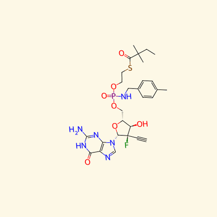 C#C[C@@]1(F)[C@H](O)[C@@H](COP(=O)(NCc2ccc(C)cc2)OCCSC(=O)C(C)(C)CC)O[C@H]1n1cnc2c(=O)[nH]c(N)nc21